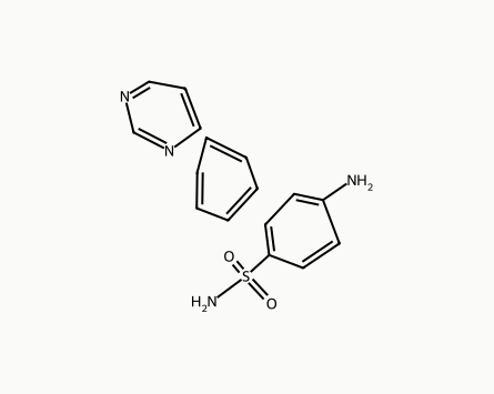 Nc1ccc(S(N)(=O)=O)cc1.c1ccccc1.c1cncnc1